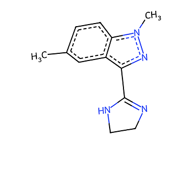 Cc1ccc2c(c1)c(C1=NCCN1)nn2C